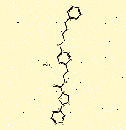 Cl.Cl.O=C(NCCc1ccc(OCCCCc2ccccc2)cc1)C1CSC(c2cccnc2)N1